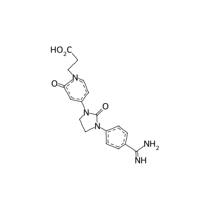 N=C(N)c1ccc(N2CCN(c3ccn(CCC(=O)O)c(=O)c3)C2=O)cc1